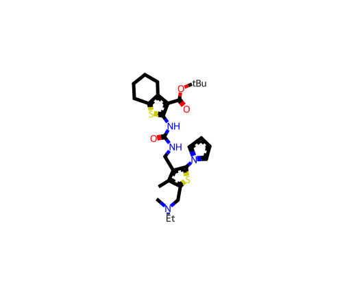 CCN(C)Cc1sc(-n2cccc2)c(CNC(=O)Nc2sc3c(c2C(=O)OC(C)(C)C)CCCC3)c1C